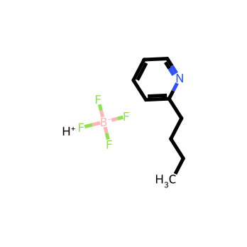 CCCCc1ccccn1.F[B-](F)(F)F.[H+]